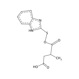 CC(CC(=O)O)C(=O)OSc1nc2ccccc2[nH]1